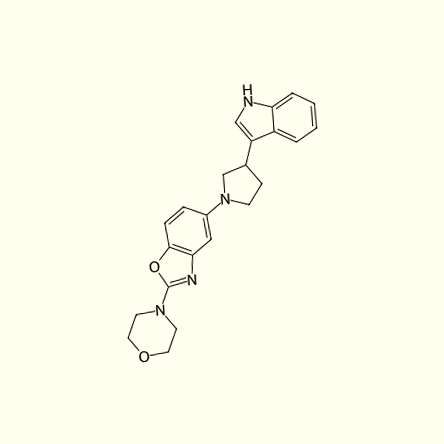 c1ccc2c(C3CCN(c4ccc5oc(N6CCOCC6)nc5c4)C3)c[nH]c2c1